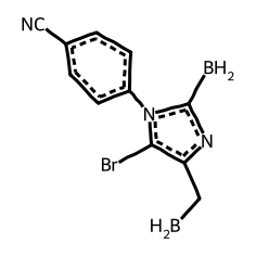 BCc1nc(B)n(-c2ccc(C#N)cc2)c1Br